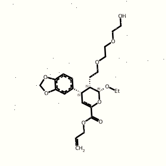 C=CCOC(=O)C1=C[C@H](c2ccc3c(c2)OCO3)[C@H](CCOCCOCCO)[C@H](OCC)O1